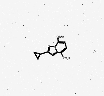 COc1ccc(C(=O)O)c2cc(C3CC3)nn12